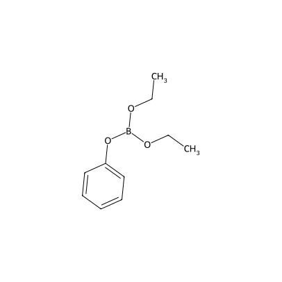 CCOB(OCC)Oc1ccccc1